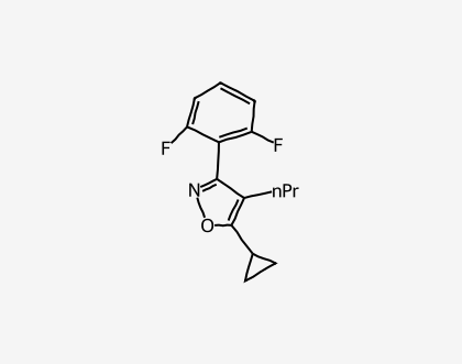 CCCc1c(-c2c(F)cccc2F)noc1C1CC1